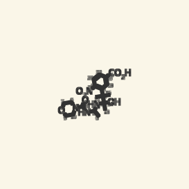 CC(NC(=O)N1CCOCC1)NC(C)(O)C(C)(C)c1cc(C(=O)O)ccc1[N+](=O)[O-]